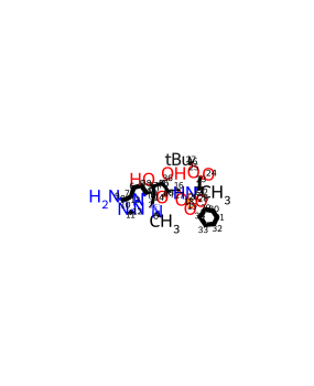 C/N=C/[C@@]1(c2ccc3c(N)ncnn23)O[C@H](COP(=O)(N[C@@H](C)C(=O)OCC(C)(C)C)Oc2ccccc2)[C@@H](O)[C@H]1O